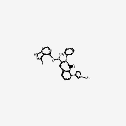 C[C@H](Nc1ncnc2[nH]cc(F)c12)c1cc2cccc(-c3cnn(C)c3)c2c(=O)n1-c1ccccc1